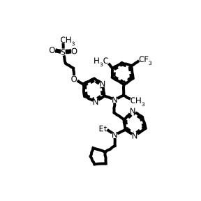 CCN(CC1CCCC1)c1nccnc1CN(c1ncc(OCCS(C)(=O)=O)cn1)C(C)c1cc(C)cc(C(F)(F)F)c1